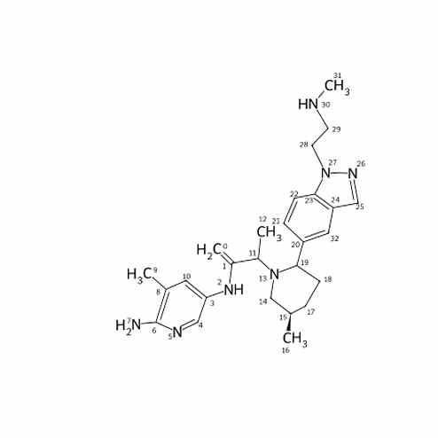 C=C(Nc1cnc(N)c(C)c1)C(C)N1C[C@H](C)CCC1c1ccc2c(cnn2CCNC)c1